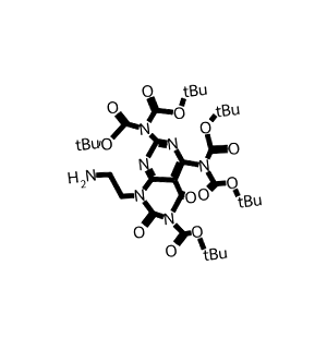 CC(C)(C)OC(=O)N(C(=O)OC(C)(C)C)c1nc(N(C(=O)OC(C)(C)C)C(=O)OC(C)(C)C)c2c(=O)n(C(=O)OC(C)(C)C)c(=O)n(CCN)c2n1